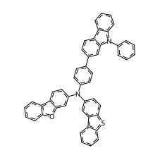 c1ccc(-n2c3ccccc3c3ccc(-c4ccc(N(c5ccc6c(c5)oc5ccccc56)c5ccc6sc7ccccc7c6c5)cc4)cc32)cc1